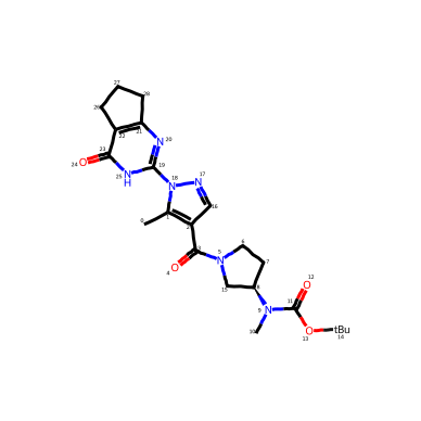 Cc1c(C(=O)N2CC[C@@H](N(C)C(=O)OC(C)(C)C)C2)cnn1-c1nc2c(c(=O)[nH]1)CCC2